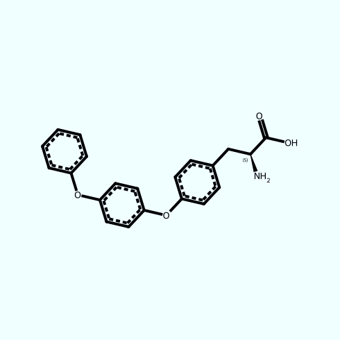 N[C@@H](Cc1ccc(Oc2ccc(Oc3ccccc3)cc2)cc1)C(=O)O